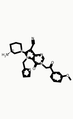 COc1cccc(C(=O)Cn2cnc3c(C#N)c(N4CCC[C@@H](N)C4)n(Cc4cccs4)c3c2=O)c1